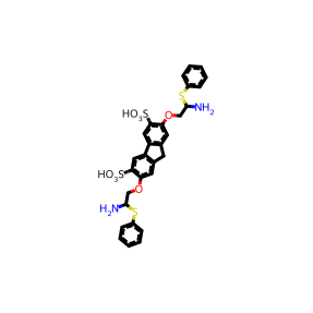 NC(COc1cc2c(cc1S(=O)(=O)O)-c1cc(S(=O)(=O)O)c(OCC(N)Sc3ccccc3)cc1C2)Sc1ccccc1